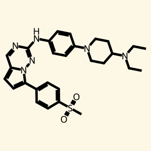 CCN(CC)C1CCN(c2ccc(Nc3ncc4ccc(-c5ccc(S(C)(=O)=O)cc5)n4n3)cc2)CC1